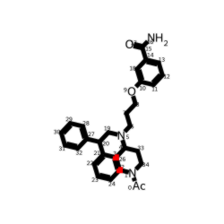 CC(=O)N1CCC(N(CCCOc2cccc(C(N)=O)c2)CC(c2ccccc2)c2ccccc2)CC1